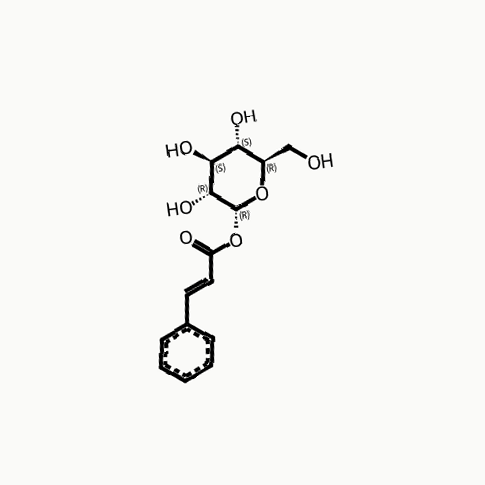 O=C(C=Cc1ccccc1)O[C@H]1O[C@H](CO)[C@@H](O)[C@H](O)[C@H]1O